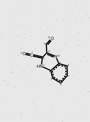 O=C=C1Nc2ccccc2N=C1C=O